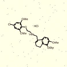 COc1cc(Cl)cc(OC)c1OCCNCC1=CCCc2c1ccc(OC)c2OC.Cl